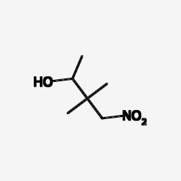 CC(O)C(C)(C)C[N+](=O)[O-]